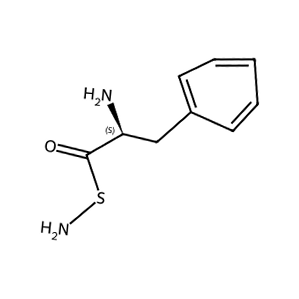 NSC(=O)[C@@H](N)Cc1ccccc1